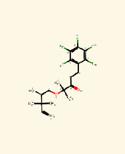 C=CC(C)(C)[C@@H](C)COC(C)(C)C(=O)CCc1c(F)c(F)c(F)c(F)c1F